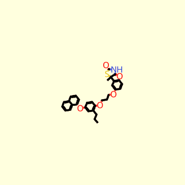 CCCc1cc(Oc2cccc3ccccc23)ccc1OCCCOc1cccc(C2(C)SC(=O)NC2=O)c1